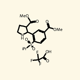 COC(=O)c1ccc(S(=O)(=O)C(C)C)c(C2NCCC2C(=O)OC)c1.O=C(O)C(F)(F)F